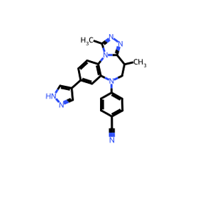 Cc1nnc2n1-c1ccc(-c3cn[nH]c3)cc1N(c1ccc(C#N)cc1)CC2C